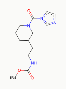 CC(C)(C)OC(=O)NCCC1CCCN(C(=O)n2ccnc2)C1